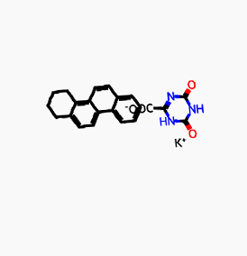 O=C([O-])c1nc(=O)[nH]c(=O)[nH]1.[K+].c1ccc2c(c1)ccc1c3c(ccc12)CCCC3